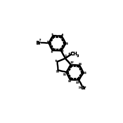 CC1(c2cccc(Br)c2)CCc2cc(Br)ccc21